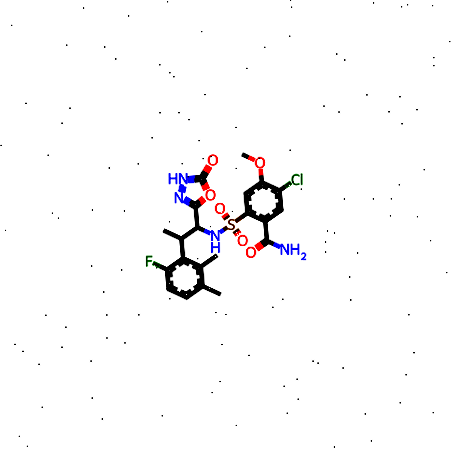 COc1cc(S(=O)(=O)NC(c2n[nH]c(=O)o2)C(C)c2c(F)ccc(C)c2C)c(C(N)=O)cc1Cl